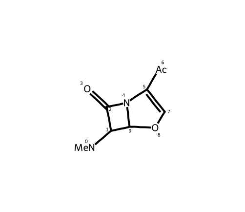 CNC1C(=O)N2C(C(C)=O)=COC12